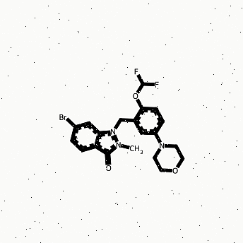 Cn1c(=O)c2ccc(Br)cc2n1Cc1cc(N2CCOCC2)ccc1OC(F)F